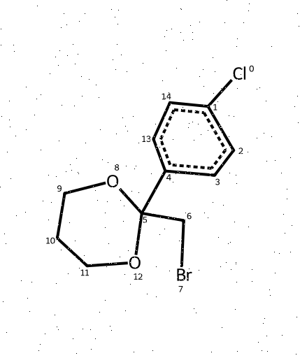 Clc1ccc(C2(CBr)OCCCO2)cc1